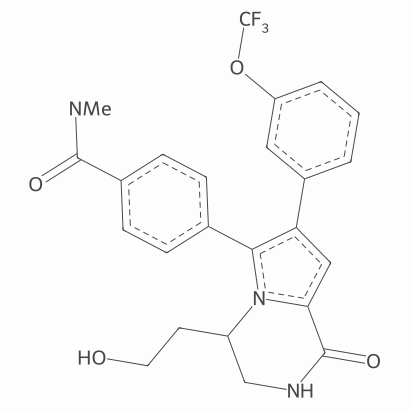 CNC(=O)c1ccc(-c2c(-c3cccc(OC(F)(F)F)c3)cc3n2C(CCO)CNC3=O)cc1